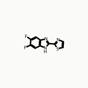 Fc1cc2nc(-c3nccs3)[nH]c2cc1F